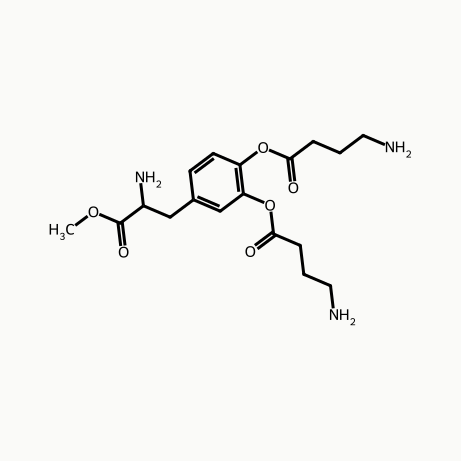 COC(=O)C(N)Cc1ccc(OC(=O)CCCN)c(OC(=O)CCCN)c1